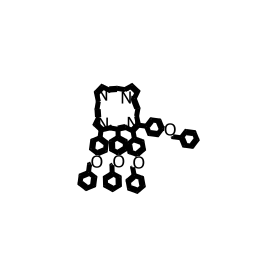 C1=CC2=NC1=CC1=NC(=C(c3ccc(OCc4ccccc4)cc3)C3=NC(=CC4=NC(=C2)C=C4)C=C3c2ccc(OCc3ccccc3)cc2)C(c2ccc(OCc3ccccc3)cc2)=C1c1ccc(OCc2ccccc2)cc1